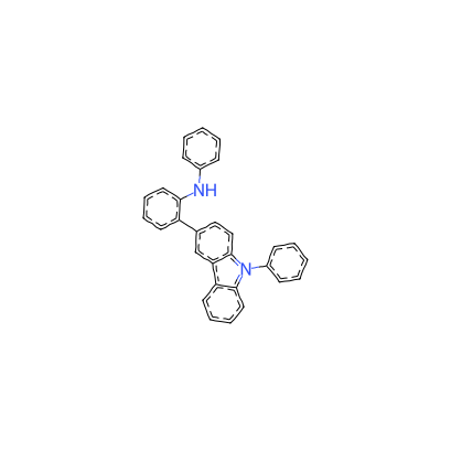 c1ccc(Nc2ccccc2-c2ccc3c(c2)c2ccccc2n3-c2ccccc2)cc1